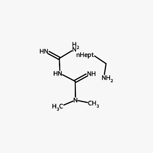 CCCCCCCCN.CN(C)C(=N)NC(=N)N